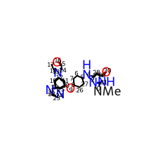 CNc1nc(N[C@H]2CC[C@@H](Oc3cc(N4CCOCC4)cc4nccnc34)CC2)cc(=O)[nH]1